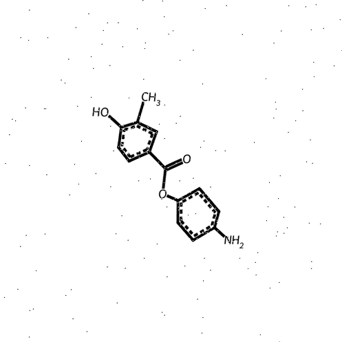 Cc1cc(C(=O)Oc2ccc(N)cc2)ccc1O